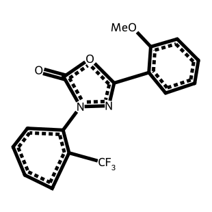 COc1ccccc1-c1nn(-c2ccccc2C(F)(F)F)c(=O)o1